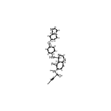 CC#CC(=O)N(C)c1ccc2ncnc(Nc3ccc(Oc4ccn5ccnc5c4)cc3)c2c1F